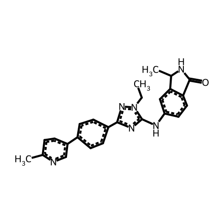 CCn1nc(-c2ccc(-c3ccc(C)nc3)cc2)nc1Nc1ccc2c(c1)C(C)NC2=O